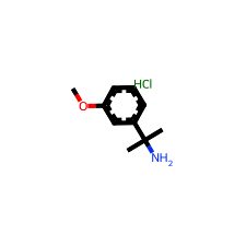 COc1cccc(C(C)(C)N)c1.Cl